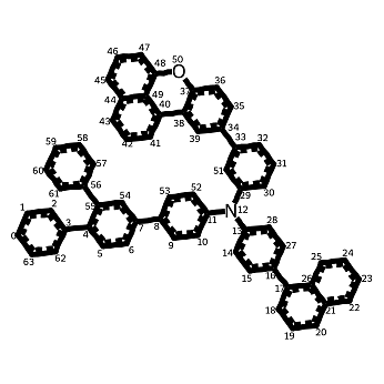 c1ccc(-c2ccc(-c3ccc(N(c4ccc(-c5cccc6ccccc56)cc4)c4cccc(-c5ccc6c(c5)-c5cccc7cccc(c57)O6)c4)cc3)cc2-c2ccccc2)cc1